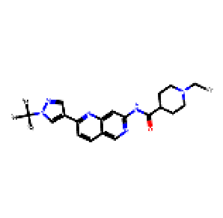 [2H]C([2H])([2H])n1cc(-c2ccc3cnc(NC(=O)C4CCN(CC(C)C)CC4)cc3n2)cn1